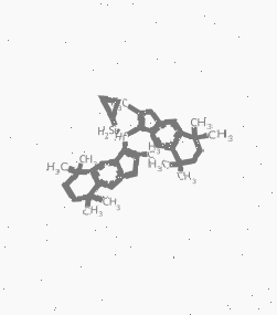 CC1=[C]([Hf]([SiH2]C2CC2)[C]2=C(C)Cc3cc4c(cc32)C(C)(C)CCC4(C)C)c2cc3c(cc2C1)C(C)(C)CCC3(C)C